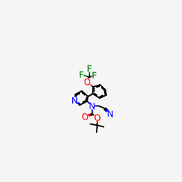 CC(C)(C)OC(=O)N(CC#N)c1cnccc1-c1ccccc1OC(F)(F)F